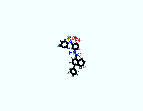 O=C(Nc1ccc(O)c(N(c2ccc(F)cc2)[SH](=O)=O)c1)c1ccc(-c2ccccc2)c2ccccc12